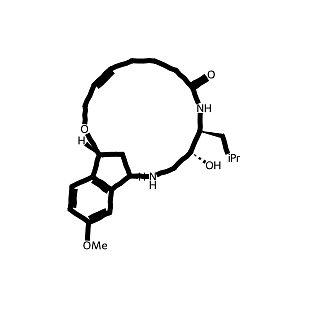 COc1ccc2c(c1)[C@@H]1C[C@H]2OC/C=C\CCCC(=O)N[C@@H](CC(C)C)[C@H](O)CN1